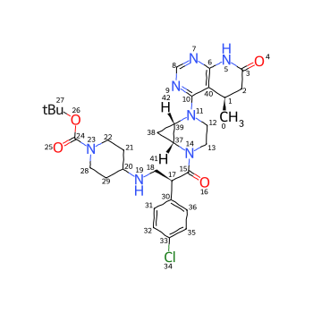 C[C@@H]1CC(=O)Nc2ncnc(N3CCN(C(=O)[C@H](CNC4CCN(C(=O)OC(C)(C)C)CC4)c4ccc(Cl)cc4)[C@@H]4C[C@@H]43)c21